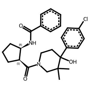 CC1(C)CN(C(=O)[C@H]2CCC[C@H]2NC(=O)c2ccccc2)CCC1(O)c1ccc(Cl)cc1